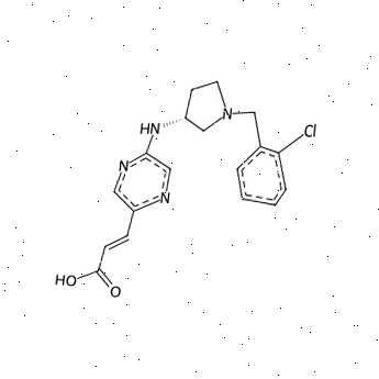 O=C(O)/C=C/c1cnc(N[C@@H]2CCN(Cc3ccccc3Cl)C2)cn1